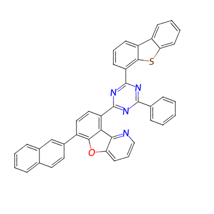 c1ccc(-c2nc(-c3cccc4c3sc3ccccc34)nc(-c3ccc(-c4ccc5ccccc5c4)c4oc5cccnc5c34)n2)cc1